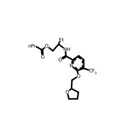 CCCC(=O)OCC(CC)NC(=O)c1ccc(C(F)(F)F)c(OCC2CCCO2)n1